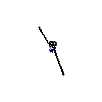 CCCCCCCCCCCCCCCCCCCC(c1nccn1CCCCCCCCCCCCCCCC)C(C)(Cc1ccccc1)c1ccccc1